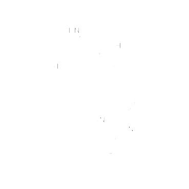 Brc1nsc(C2=C[C@H]3CNC[C@H]3C2)n1